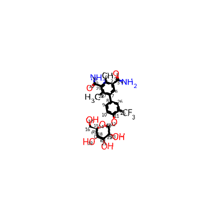 Cc1c(C(N)=O)cc(-c2ccc(O[C@H]3O[C@H](CO)[C@@H](O)[C@H](O)[C@@H]3O)c(C(F)(F)F)c2)c(C)c1C(N)=O